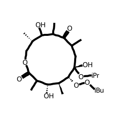 CCC(C)OO[C@@H]1[C@@H](C)[C@H](O)C(C)C(=O)OC[C@H](C)C(O)C(C)C(=O)C(C)C[C@]1(O)OC(C)C